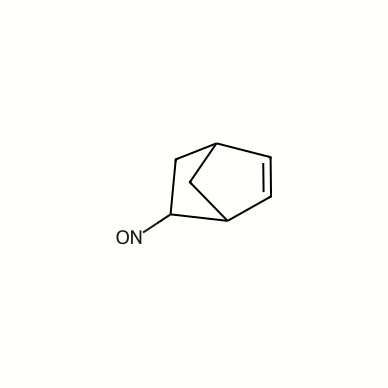 O=NC1CC2C=CC1C2